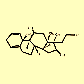 C[C@]12C=CCC=C1CC[C@H]1[C@@H]3CC(O)[C@](O)(CCO)[C@@]3(C)CC(O)[C@@]12Br